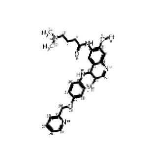 CCOc1cc2c(cc1NC(=O)CCCN(C)C)C(Nc1ccc(OCc3ccccn3)cc1)C(C#N)C=N2